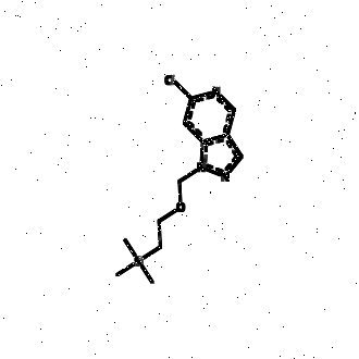 C[Si](C)(C)CCOCn1ncc2cnc(Cl)cc21